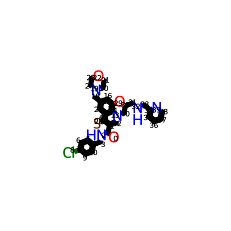 O=C(NCc1ccc(Cl)cc1)c1cn2c3c(cc(CN4CCOCC4)cc3c1=S)OC(CNCc1ccccn1)C2